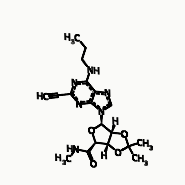 C#Cc1nc(NCCC)c2ncn([C@@H]3O[C@H](C(=O)NC)[C@H]4OC(C)(C)O[C@H]43)c2n1